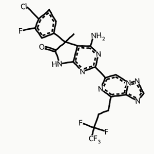 CC1(c2ccc(Cl)c(F)c2)C(=O)Nc2nc(-c3cn4ncnc4c(CCC(F)(F)C(F)(F)F)n3)nc(N)c21